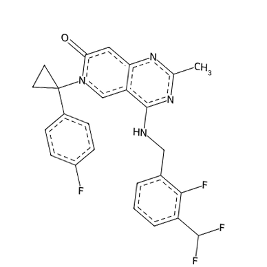 Cc1nc(NCc2cccc(C(F)F)c2F)c2cn(C3(c4ccc(F)cc4)CC3)c(=O)cc2n1